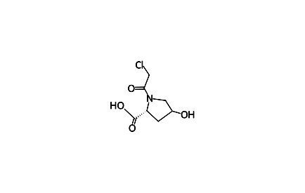 O=C(O)[C@H]1CC(O)CN1C(=O)CCl